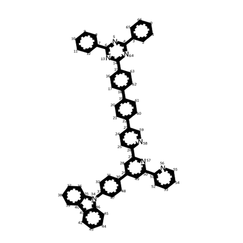 c1ccc(-c2nc(-c3ccccc3)nc(-c3ccc(-c4ccc(-c5ccc(-c6cc(-c7ccc(-n8c9ccccc9c9ccccc98)cc7)cc(-c7ccccn7)n6)nc5)cc4)cc3)n2)cc1